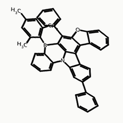 Cc1cc(C)c(B2c3ccccc3-n3c4cc(-c5ccccc5)ccc4c4c5c(oc6ccccc65)c(-c5ccccc5)c2c43)c(C)c1